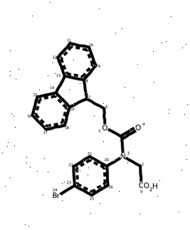 O=C(O)CN(C(=O)OCC1c2ccccc2-c2ccccc21)c1ccc(Br)cc1